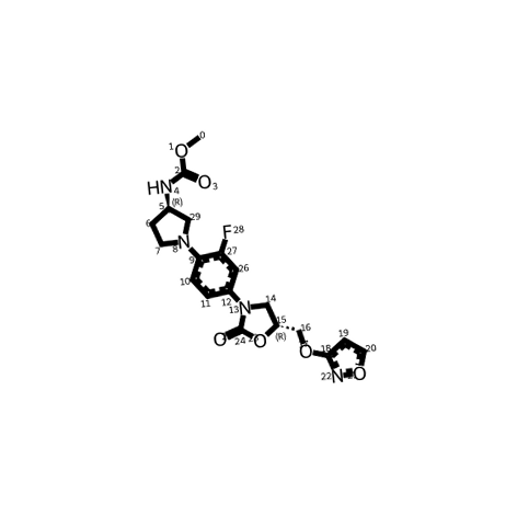 COC(=O)N[C@@H]1CCN(c2ccc(N3C[C@H](COc4ccon4)OC3=O)cc2F)C1